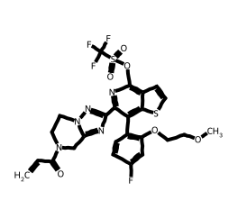 C=CC(=O)N1CCn2nc(-c3nc(OS(=O)(=O)C(F)(F)F)c4ccsc4c3-c3ccc(F)cc3OCCOC)nc2C1